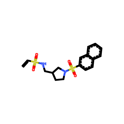 C=CS(=O)(=O)NCC1CCN(S(=O)(=O)c2ccc3ccccc3c2)C1